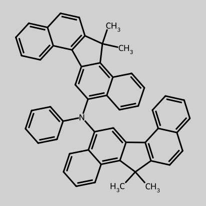 CC1(C)c2ccc3ccccc3c2-c2cc(N(c3ccccc3)c3cc4c(c5ccccc35)C(C)(C)c3ccc5ccccc5c3-4)c3ccccc3c21